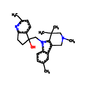 Cc1ccc2c(c1)c1c(n2CC2(O)CCc3nc(C)ccc32)C(C)(C)CN(C)C1